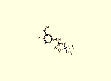 CC(C)(C)OC(=O)Nc1ccc(Br)c(C=N)c1